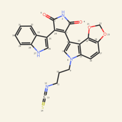 O=C1NC(=O)C(c2cn(CCCN=C=S)c3ccc4c(c23)OCO4)=C1c1c[nH]c2ccccc12